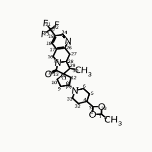 CC1OC(C2CCN([C@@H]3CC[C@@]4(C3)C(=O)N3Cc5cc(C(F)(F)F)cnc5CC3C4C)CC2)O1